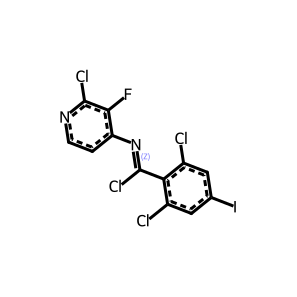 Fc1c(/N=C(\Cl)c2c(Cl)cc(I)cc2Cl)ccnc1Cl